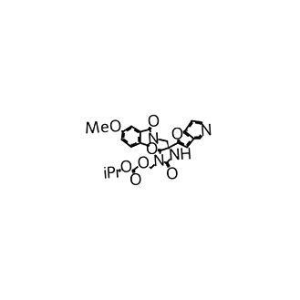 COc1ccc2c(c1)C(=O)N(C[C@@]1(c3cc4cnccc4o3)NC(=O)N(COC(=O)OC(C)C)C1=O)C2